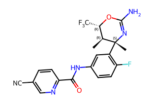 C[C@H]1[C@H](C(F)(F)F)OC(N)=N[C@]1(C)c1cc(NC(=O)c2ccc(C#N)cn2)ccc1F